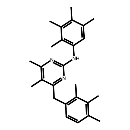 Cc1ccc(Cc2nc(Nc3cc(C)c(C)c(C)c3C)nc(C)c2C)c(C)c1C